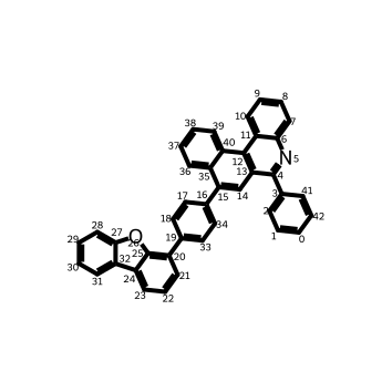 c1ccc(-c2nc3ccccc3c3c2cc(-c2ccc(-c4cccc5c4oc4ccccc45)cc2)c2ccccc23)cc1